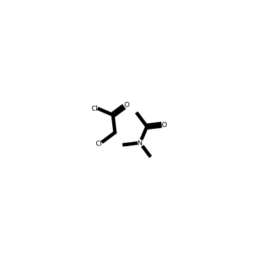 CC(=O)N(C)C.O=C(Cl)CCl